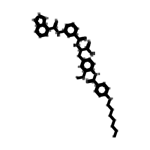 CCCCCCCOc1ccc(C(=O)Oc2ccc(CC(NC(=O)c3cccc(NC(=O)c4cccc5nsnc45)c3)C(=O)O)cc2OC)cc1